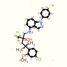 COc1cc(Cl)ccc1C(C)(C)CC(O)(CNc1cccc2c1cnn2-c1ccc(F)cc1)C(F)(F)F